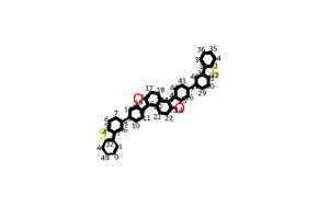 C1=Cc2c(sc3ccc(-c4ccc5c(c4)oc4ccc6c(ccc7oc8cc(-c9ccc%10sc%11ccccc%11c%10c9)ccc8c76)c45)cc23)CC1